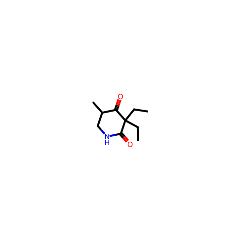 CCC1(CC)C(=O)NCC(C)C1=O